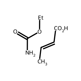 C/C=C/C(=O)O.CCOC(N)=O